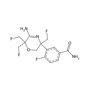 NC(=O)c1ccc(F)c(C2(CF)COC(CF)(CF)C(N)=N2)c1